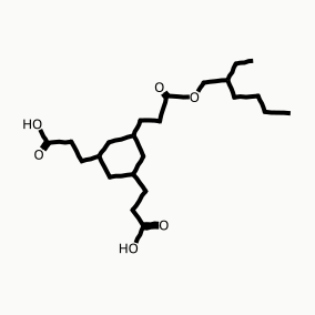 CCCCC(CC)COC(=O)CCC1CC(CCC(=O)O)CC(CCC(=O)O)C1